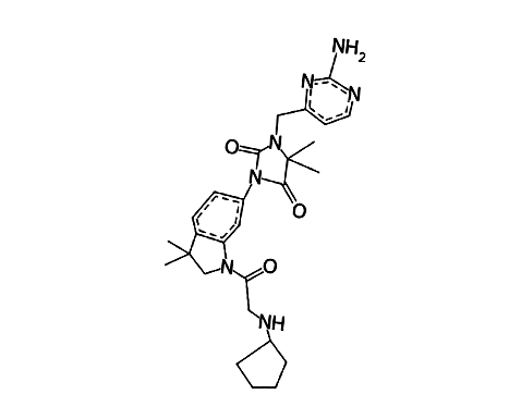 CC1(C)CN(C(=O)CNC2CCCC2)c2cc(N3C(=O)N(Cc4ccnc(N)n4)C(C)(C)C3=O)ccc21